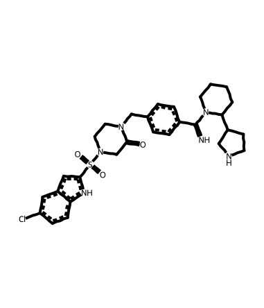 N=C(c1ccc(CN2CCN(S(=O)(=O)c3cc4cc(Cl)ccc4[nH]3)CC2=O)cc1)N1CCCCC1C1CCNC1